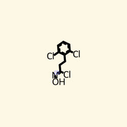 O/N=C(\Cl)CCc1c(Cl)cccc1Cl